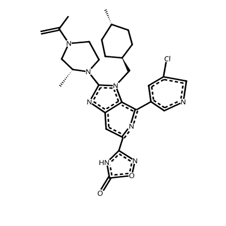 C=C(C)N1CCN(c2nc3cc(-c4noc(=O)[nH]4)nc(-c4cncc(Cl)c4)c3n2C[C@H]2CC[C@H](C)CC2)[C@H](C)C1